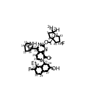 [2H]C1([2H])CC[C@@]2(COc3nc(N4CC5CCC4CN5)c4ccn(-c5cc(O)cc6ccc(F)c(CC)c56)c(=O)c4n3)C[C@@H](F)CN12